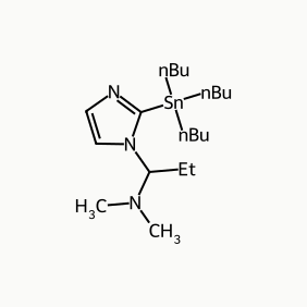 CCC[CH2][Sn]([CH2]CCC)([CH2]CCC)[c]1nccn1C(CC)N(C)C